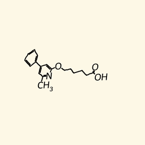 Cc1cc(-c2ccccc2)cc(OCCCCCC(=O)O)n1